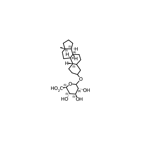 C[C@@]12CCC[C@H]1[C@@H]1CCC3CC(OC4O[C@H](C(=O)O)[C@@H](O)[C@H](O)[C@H]4O)CC[C@@H]3[C@H]1CC2